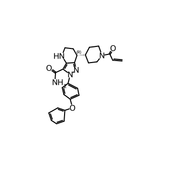 C=CC(=O)N1CCC([C@H]2CCNc3c2nn(-c2ccc(Oc4ccccc4)cc2)c3C(N)=O)CC1